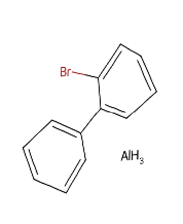 Brc1ccccc1-c1ccccc1.[AlH3]